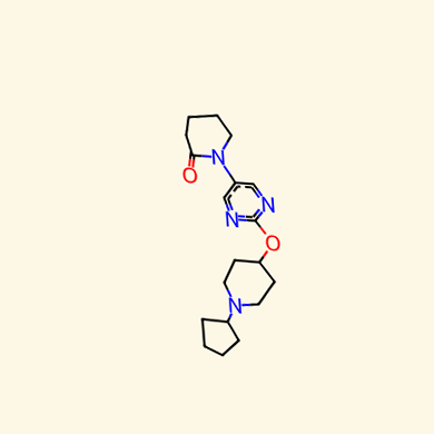 O=C1CCCCN1c1cnc(OC2CCN(C3CCCC3)CC2)nc1